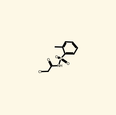 Cc1ccccc1S(=O)(=O)NC(=O)CCl